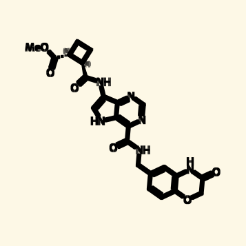 COC(=O)[C@@H]1CC[C@H]1C(=O)Nc1c[nH]c2c(C(=O)NCc3ccc4c(c3)NC(=O)CO4)ncnc12